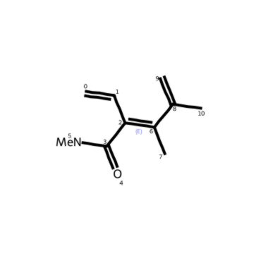 C=C/C(C(=O)NC)=C(/C)C(=C)C